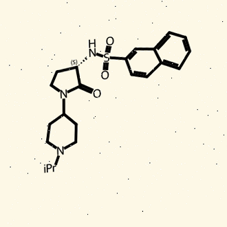 CC(C)N1CCC(N2CC[C@H](NS(=O)(=O)c3ccc4ccccc4c3)C2=O)CC1